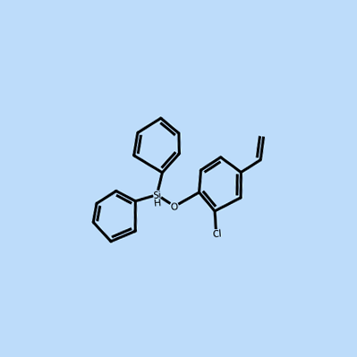 C=Cc1ccc(O[SiH](c2ccccc2)c2ccccc2)c(Cl)c1